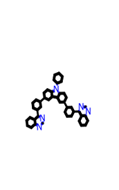 c1ccc(-n2c3ccc(-c4cccc(-c5ncnc6ccccc56)c4)cc3c3cc(-c4cccc(-c5ncnc6ccccc56)c4)ccc32)cc1